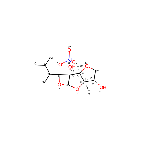 CC(C)C(C)C(O)(O[N+](=O)[O-])[C@]1(O)CO[C@@H]2[C@@H](O)CO[C@@H]21